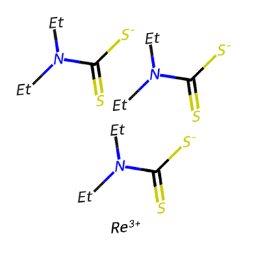 CCN(CC)C(=S)[S-].CCN(CC)C(=S)[S-].CCN(CC)C(=S)[S-].[Re+3]